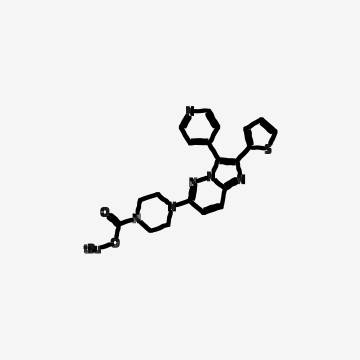 CC(C)(C)OC(=O)N1CCN(c2ccc3nc(-c4cccs4)c(-c4ccncc4)n3n2)CC1